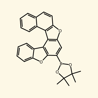 CC1(C)OB(c2cc3oc4ccc5ccccc5c4c3c3c2oc2ccccc23)OC1(C)C